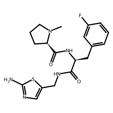 CN1CCC[C@@H]1C(=O)N[C@@H](Cc1cccc(F)c1)C(=O)NCc1cnc(N)s1